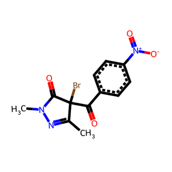 CC1=NN(C)C(=O)C1(Br)C(=O)c1ccc([N+](=O)[O-])cc1